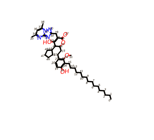 CCCCCCCCCCCCCCCCc1c(O)ccc(CCC2OC(=O)C(Cc3nc4nc(C)cc(C)n4n3)=C(O)C2C2CCCC2)c1OC